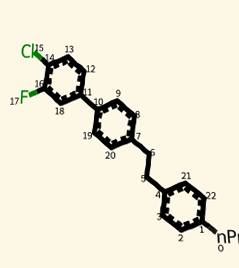 CCCc1ccc(CCc2ccc(-c3ccc(Cl)c(F)c3)cc2)cc1